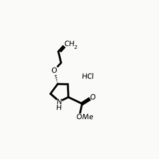 C=CCO[C@H]1CNC(C(=O)OC)C1.Cl